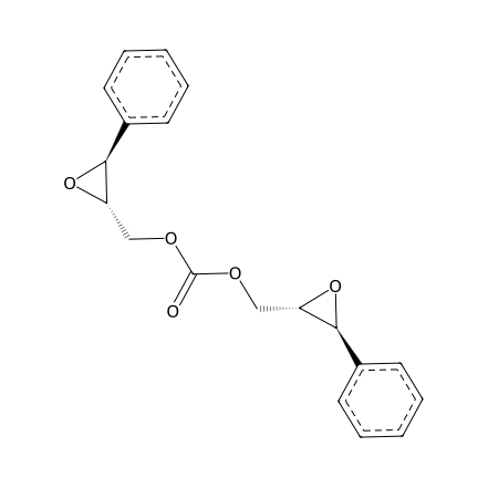 O=C(OC[C@@H]1O[C@H]1c1ccccc1)OC[C@@H]1O[C@H]1c1ccccc1